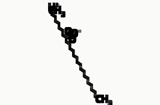 CCCCCCCCCCCCCCCCCCC(CCCCCCCC)S(=O)(=O)[O-].[Li+]